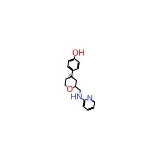 Oc1ccc([C@@H]2CCOC(CNc3ccccn3)C2)cc1